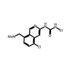 CCNC(=O)Nc1cc2c(Cl)ccc(CNC)c2cn1